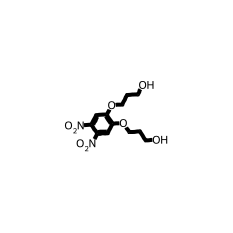 O=[N+]([O-])c1cc(OCCCO)c(OCCCO)cc1[N+](=O)[O-]